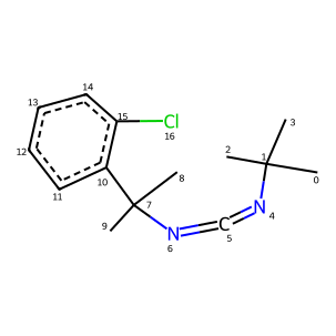 CC(C)(C)N=C=NC(C)(C)c1ccccc1Cl